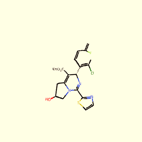 C=C(F)/C=C\C(=C(/C)Cl)[C@@H]1N=C(c2nccs2)N2C[C@@H](O)CC2=C1C(=O)OCC